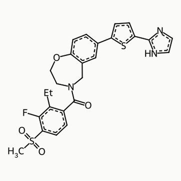 CCc1c(C(=O)N2CCOc3ccc(-c4ccc(-c5ncc[nH]5)s4)cc3C2)ccc(S(C)(=O)=O)c1F